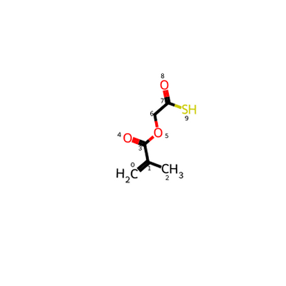 C=C(C)C(=O)OCC(=O)S